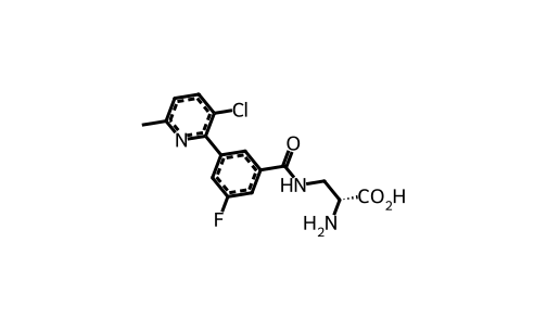 Cc1ccc(Cl)c(-c2cc(F)cc(C(=O)NC[C@@H](N)C(=O)O)c2)n1